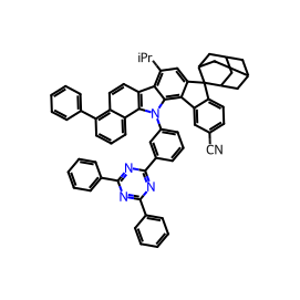 CC(C)c1cc2c(c3c1c1ccc4c(-c5ccccc5)cccc4c1n3-c1cccc(-c3nc(-c4ccccc4)nc(-c4ccccc4)n3)c1)-c1cc(C#N)ccc1C21C2CC3CC(C2)CC1C3